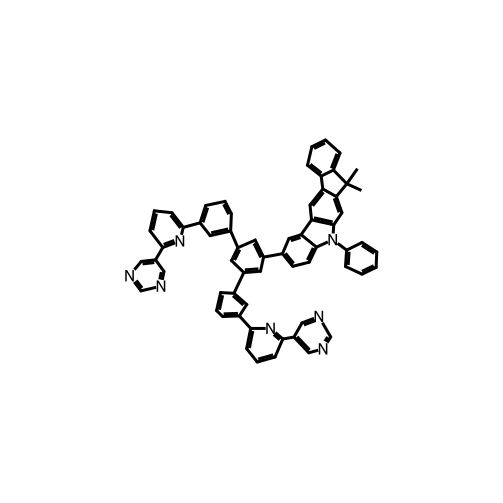 CC1(C)c2ccccc2-c2cc3c4cc(-c5cc(-c6cccc(-c7cccc(-c8cncnc8)n7)c6)cc(-c6cccc(-c7cccc(-c8cncnc8)n7)c6)c5)ccc4n(-c4ccccc4)c3cc21